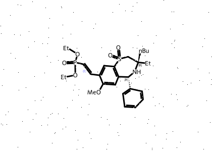 CCCC[C@]1(CC)CS(=O)(=O)c2cc(/C=C/P(=O)(OCC)OCC)c(OC)cc2[C@@H](c2ccccc2)N1